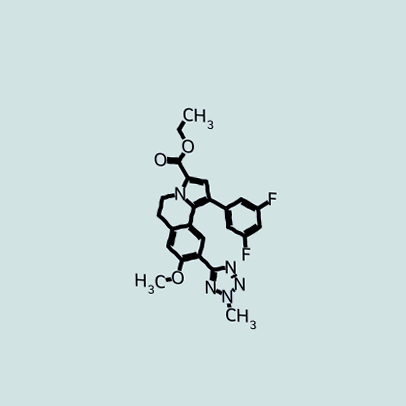 CCOC(=O)c1cc(-c2cc(F)cc(F)c2)c2n1CCc1cc(OC)c(-c3nnn(C)n3)cc1-2